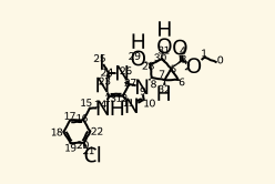 CCOC(=O)[C@@]12C[C@@H]1[C@H](n1cnc3c(NCc4cccc(Cl)c4)nc(I)nc31)[C@H](O)[C@@H]2O